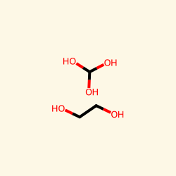 OC(O)O.OCCO